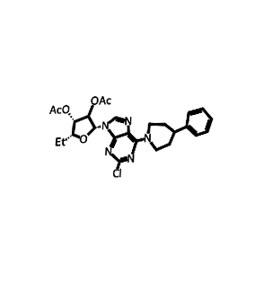 CC[C@H]1O[C@@H](n2cnc3c(N4CCC(c5ccccc5)CC4)nc(Cl)nc32)C(OC(C)=O)[C@H]1OC(C)=O